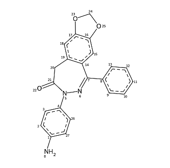 Nc1ccc(N2N=C(c3ccccc3)c3cc4c(cc3CC2=O)OCO4)cc1